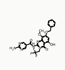 COc1c(OCc2ccccc2)cc(O)c2c(=O)n(CC(F)(F)F)c(NC(=O)c3cnc(N)nc3)nc12